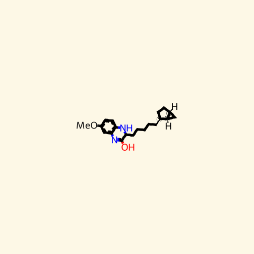 COc1ccc2c(c1)N=C(O)C(CCCCC[C@H]1CC[C@H]3C[C@@H]13)N2